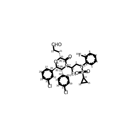 CCC(CN(c1ccccc1F)S(=O)(=O)C1CC1)N1C(=O)[C@@H](CCC=O)O[C@H](c2cccc(Cl)c2)[C@H]1c1ccc(Cl)cc1